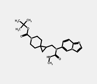 CNC(=O)N(CC1CC12CCN(C(=O)OC(C)(C)C)CC2)c1ccc2nccn2c1